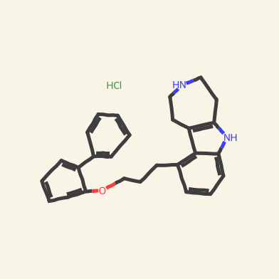 Cl.c1ccc(-c2ccccc2OCCCc2cccc3[nH]c4c(c23)CCNCC4)cc1